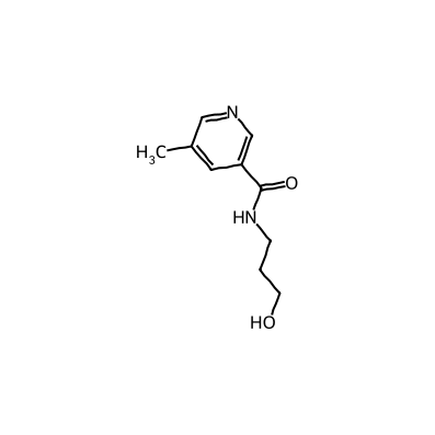 Cc1cncc(C(=O)NCCCO)c1